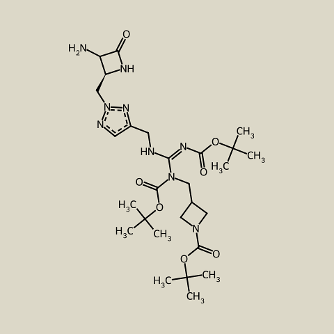 CC(C)(C)OC(=O)N=C(NCc1cnn(C[C@@H]2NC(=O)C2N)n1)N(CC1CN(C(=O)OC(C)(C)C)C1)C(=O)OC(C)(C)C